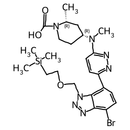 C[C@@H]1C[C@H](N(C)c2ccc(-c3ccc(Br)c4nnn(COCC[Si](C)(C)C)c34)nn2)CCN1C(=O)O